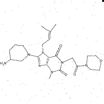 CC(C)=CCn1c(N2CCCC(N)C2)nc2c1c(=O)n(CC(=O)N1CCOCC1)c(=O)n2C